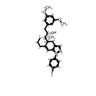 COc1cc(C[C@H](O)[C@H]2CCCC3=Cc4c(cnn4-c4ccc(F)cc4)C[C@@]32C)cc(OC)c1